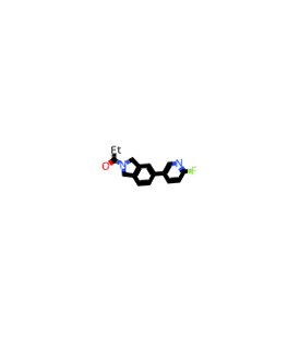 CCC(=O)N1Cc2ccc(-c3ccc(F)nc3)cc2C1